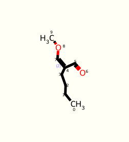 CCCC/C(C=O)=C/OC